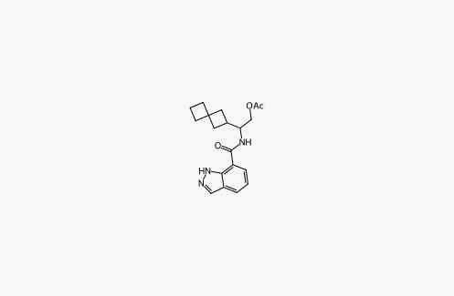 CC(=O)OCC(NC(=O)c1cccc2cn[nH]c12)C1CC2(CCC2)C1